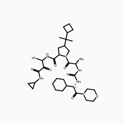 CCCC(NC(=O)C1CC(C(C)(C)C2CCC2)CN1C(=O)C(NC(=O)N[C@H](C(=O)N1CCOCC1)C1CCCCC1)C(C)(C)C)C(=O)C(=O)NC1CC1